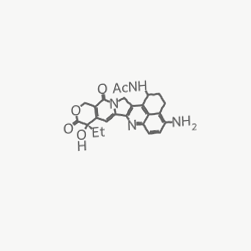 CC[C@@]1(O)C(=O)OCc2c1cc1n(c2=O)Cc2c-1nc1ccc(N)c3c1c2C(NC(C)=O)CC3